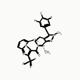 Cc1cccc2nc(C(F)(F)F)c(C(=O)N3CCc4c(nn(C)c4-c4cc(F)c(F)c(F)c4)[C@@H]3C)n12